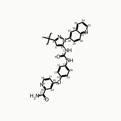 CC(C)(C)c1cc(NC(=O)Nc2ccc(Oc3ccnc(C(N)=O)c3)cc2)n(-c2ccc3ncccc3c2)n1